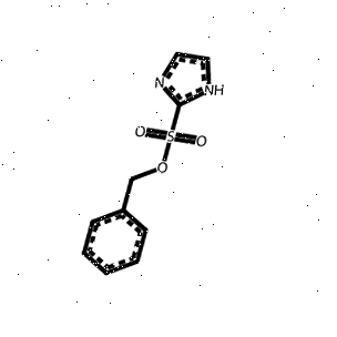 O=S(=O)(OCc1ccccc1)c1ncc[nH]1